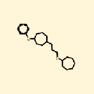 [c]1ccccc1OC1CCCC(CCCOC2CC[CH]CCC2)CC1